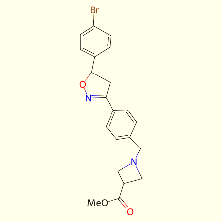 COC(=O)C1CN(Cc2ccc(C3=NOC(c4ccc(Br)cc4)C3)cc2)C1